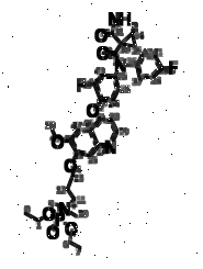 CCOP(=O)(OCC)[N+](C)(C)CCCOc1cc2nccc(Oc3ccc(N(C(=O)C4(C(N)=O)CC4)c4ccc(F)cc4)cc3F)c2cc1OC